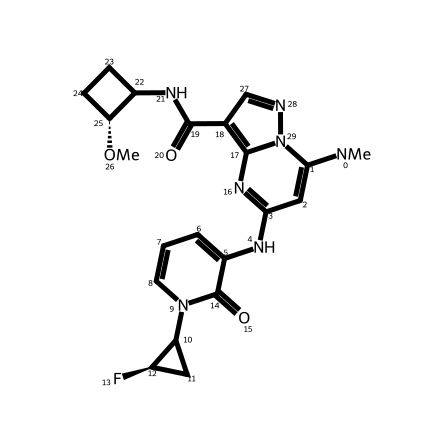 CNc1cc(Nc2cccn(C3C[C@H]3F)c2=O)nc2c(C(=O)NC3CC[C@H]3OC)cnn12